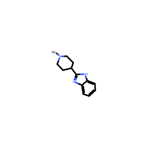 CC(C)(C)N1CCC(c2nc3ccccc3[nH]2)CC1